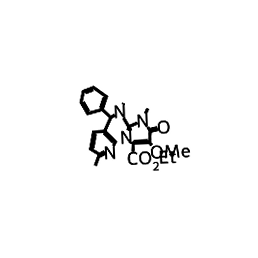 CCOC(=O)c1nc(N(C)C(c2ccccc2)c2ccc(C)nc2)n(C)c(=O)c1OC